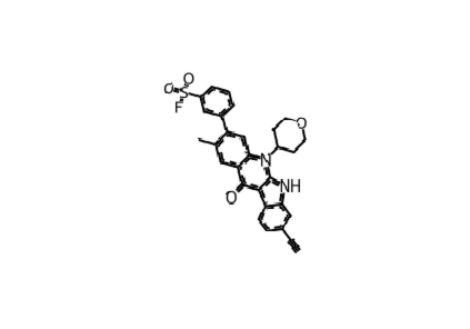 C#Cc1ccc2c(c1)[nH]c1c2c(=O)c2cc(C)c(-c3cccc(S(=O)(=O)F)c3)cc2n1C1CCOCC1